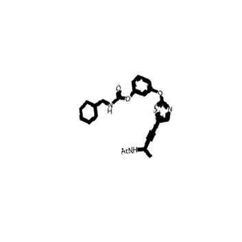 CC(=O)NC(C)C#Cc1cnc(Oc2cccc(OC(=O)NCC3CCCCC3)c2)s1